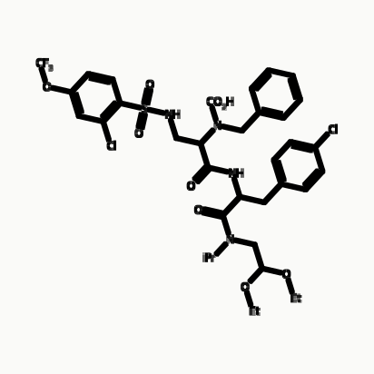 CCOC(CN(C(=O)C(Cc1ccc(Cl)cc1)NC(=O)C(CNS(=O)(=O)c1ccc(OC(F)(F)F)cc1Cl)N(Cc1ccccc1)C(=O)O)C(C)C)OCC